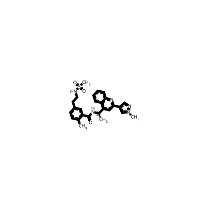 Cc1ccc(CCNS(C)(=O)=O)cc1C(=O)N[C@H](C)c1cc(-c2cnn(C)c2)nc2ccccc12